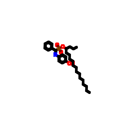 CCCCCCCCCCCCCCC(CCC)OS(=O)(=O)C(=Nc1ccc(O)cc1)c1ccccc1